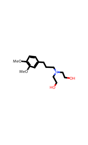 COc1ccc(CCCN(CCO)CCO)cc1OC